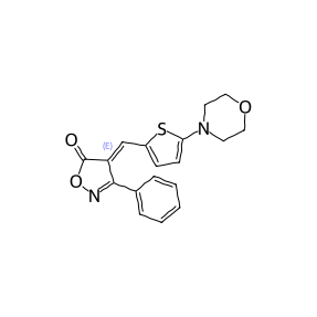 O=C1ON=C(c2ccccc2)/C1=C\c1ccc(N2CCOCC2)s1